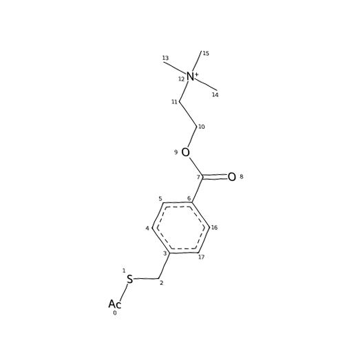 CC(=O)SCc1ccc(C(=O)OCC[N+](C)(C)C)cc1